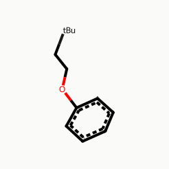 CC(C)(C)CCOc1[c]cccc1